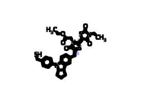 CCOC(=O)Cn1c(=O)/c(=C\c2ccc3c(c2)C2CCCC2N3c2ccc(CS)cc2)s/c1=C1/SC(=O)N(CC)C1=O